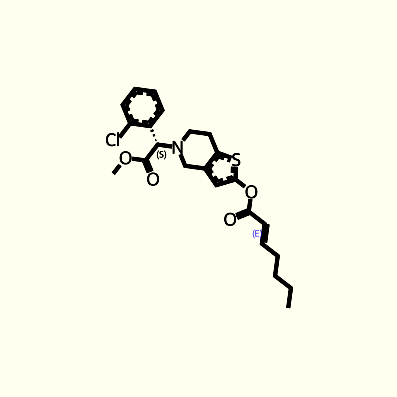 CCCC/C=C/C(=O)Oc1cc2c(s1)CCN([C@H](C(=O)OC)c1ccccc1Cl)C2